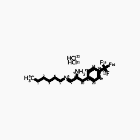 CCCCCCN=CC(N)Cc1ccc(C(F)(F)F)cc1.Cl.Cl